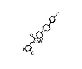 CC(C)C1(C(=O)NCc2cncc(Cl)c2)CCC(N2CCC(c3ccc(F)cc3)CC2)CO1